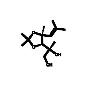 CC(C)=C[C@]1(C)OC(C)(C)O[C@@H]1[C@](C)(O)CO